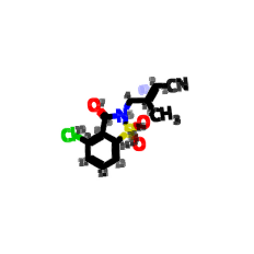 C/C(=C\C#N)CN1C(=O)c2c(Cl)cccc2S1(=O)=O